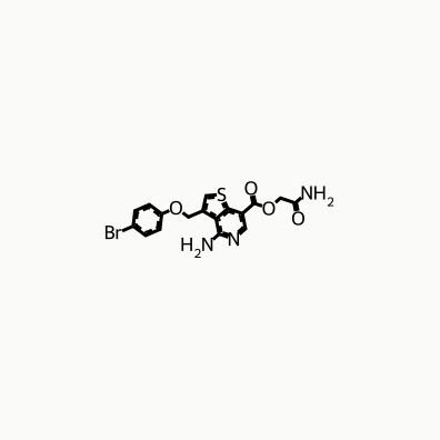 NC(=O)COC(=O)c1cnc(N)c2c(COc3ccc(Br)cc3)csc12